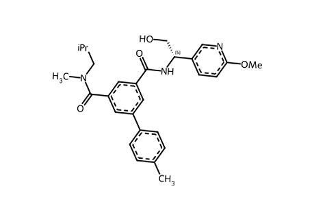 COc1ccc([C@@H](CO)NC(=O)c2cc(C(=O)N(C)CC(C)C)cc(-c3ccc(C)cc3)c2)cn1